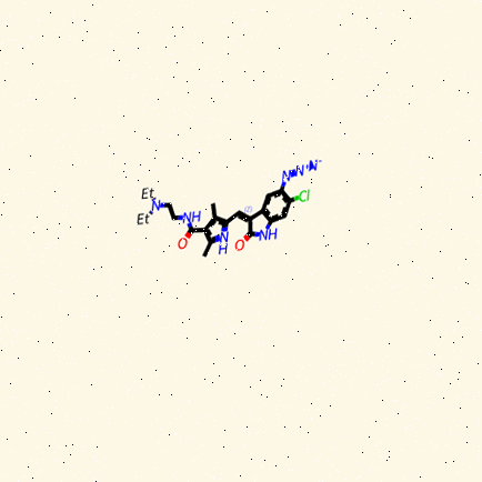 CCN(CC)CCNC(=O)c1c(C)[nH]c(/C=C2\C(=O)Nc3cc(Cl)c(N=[N+]=[N-])cc32)c1C